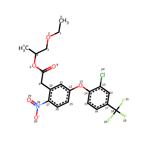 CCOCC(C)OC(=O)Cc1cc(Oc2ccc(C(F)(F)F)cc2Cl)ccc1[N+](=O)[O-]